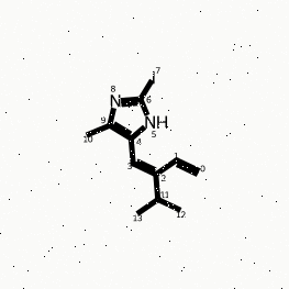 C=C/C(=C\c1[nH]c(I)nc1C)C(C)C